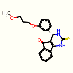 COCCCOc1cccc([C@@H]2NC(=S)NC3=C2C(=O)c2ccccc23)c1